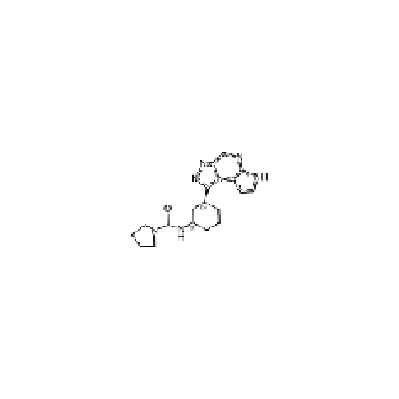 O=C(N[C@@H]1CCC[C@H](c2nnc3cnc4[nH]ccc4n23)C1)N1CCCC1